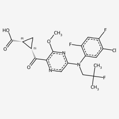 COc1nc(N(CC(C)(C)F)c2cc(Cl)c(F)cc2F)cnc1C(=O)[C@H]1C[C@H]1C(=O)O